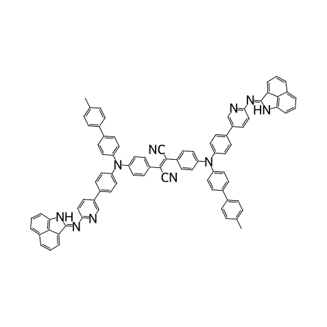 Cc1ccc(-c2ccc(N(c3ccc(/C(C#N)=C(\C#N)c4ccc(N(c5ccc(-c6ccc(C)cc6)cc5)c5ccc(-c6ccc(/N=C7\Nc8cccc9cccc7c89)nc6)cc5)cc4)cc3)c3ccc(-c4ccc(/N=C5\Nc6cccc7cccc5c67)nc4)cc3)cc2)cc1